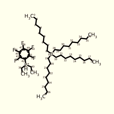 CCCCCCCCC[B-](CCCCCCCCC)(CCCCCCCCC)CCCCCCCCC.CC[PH+](CC)c1c(F)c(F)c(F)c(F)c1F